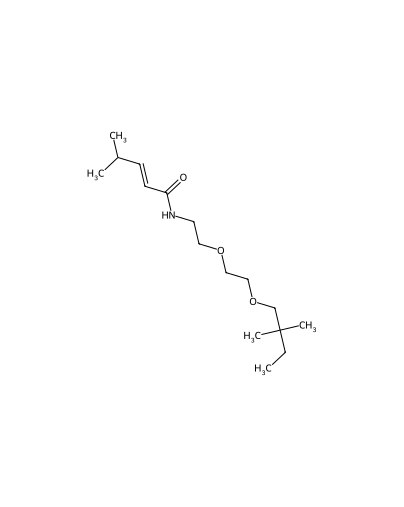 CCC(C)(C)COCCOCCNC(=O)/C=C/C(C)C